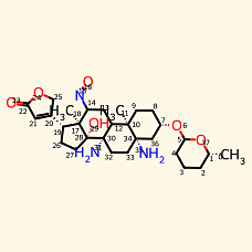 C[C@@H]1CCCC(O[C@H]2CC[C@]3(C)C4CC(N=O)[C@]5(C)[C@@H](C6=CC(=O)OC6)CC[C@]5(O)[C@]4(N)CC[C@]3(N)C2)O1